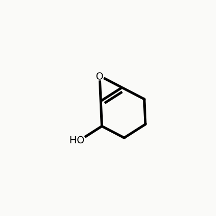 OC1CCCC2=C1O2